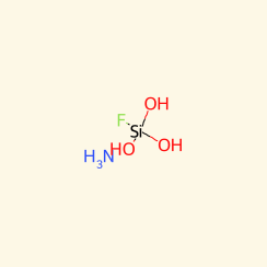 N.O[Si](O)(O)F